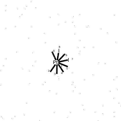 [CH3][Pt]([CH3])([CH3])([CH3])([CH3])([CH3])([I])[I]